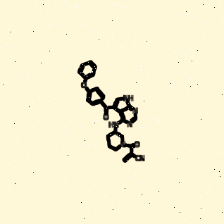 C=C(C#N)C(=O)N1CCCC(Nc2ncnc3[nH]cc(C(=O)c4ccc(Oc5ccccc5)cc4)c23)C1